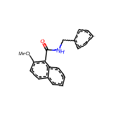 COc1ccc2ccccc2c1C(=O)NCc1cc[c]cc1